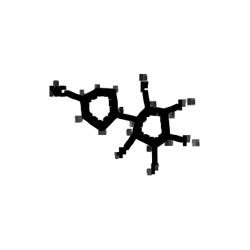 N#Cc1ccc(-c2c(F)c(F)c(F)c(F)c2F)cc1